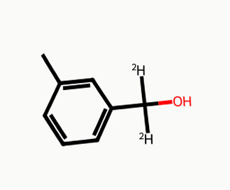 [2H]C([2H])(O)c1cccc(C)c1